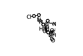 CN(C)CCCc1ccccc1Oc1cc(N2CCN(Cc3ccccc3-c3ccc(Cl)cc3)CC2)ccc1C(=O)NS(=O)(=O)c1ccc(NCC2CCOCC2)c([N+](=O)[O-])c1